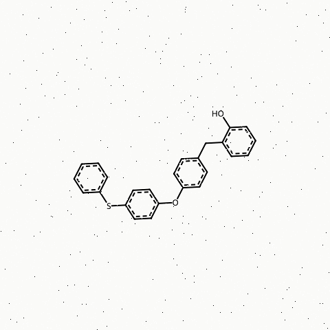 Oc1ccccc1Cc1ccc(Oc2ccc(Sc3ccccc3)cc2)cc1